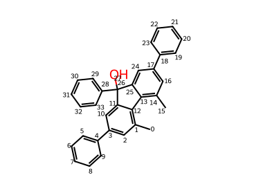 Cc1cc(-c2ccccc2)cc2c1-c1c(C)cc(-c3ccccc3)cc1C2(O)c1ccccc1